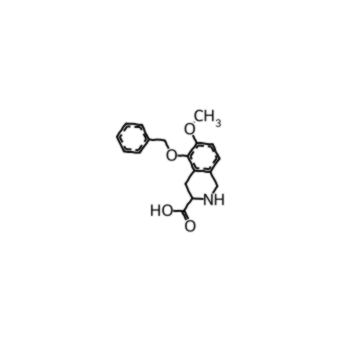 COc1ccc2c(c1OCc1ccccc1)CC(C(=O)O)NC2